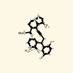 COC(=O)c1ccn2ncc(C(F)(F)F)c2c1C#CCC(c1cc(F)ccc1F)c1cccn(C)c1=O